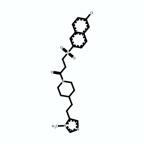 Cn1cncc1CCC1CCN(C(=O)CCS(=O)(=O)c2ccc3cc(Cl)ccc3c2)CC1